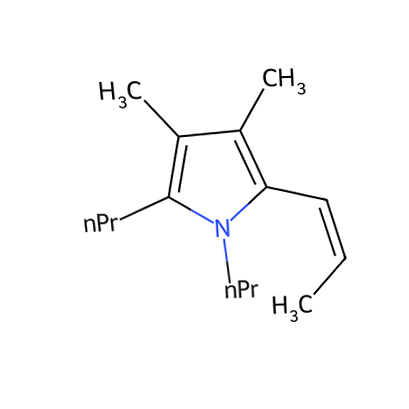 C/C=C\c1c(C)c(C)c(CCC)n1CCC